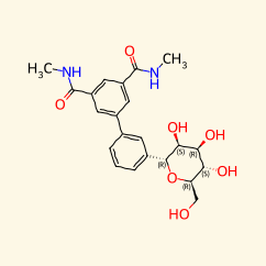 CNC(=O)c1cc(C(=O)NC)cc(-c2cccc([C@H]3O[C@H](CO)[C@@H](O)[C@H](O)[C@@H]3O)c2)c1